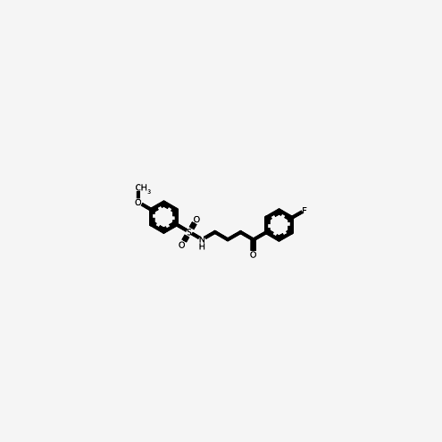 COc1ccc(S(=O)(=O)NCCCC(=O)c2ccc(F)cc2)cc1